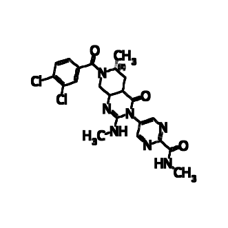 CNC(=O)c1ncc(N2C(=O)C3C[C@@H](C)N(C(=O)c4ccc(Cl)c(Cl)c4)CC3N=C2NC)cn1